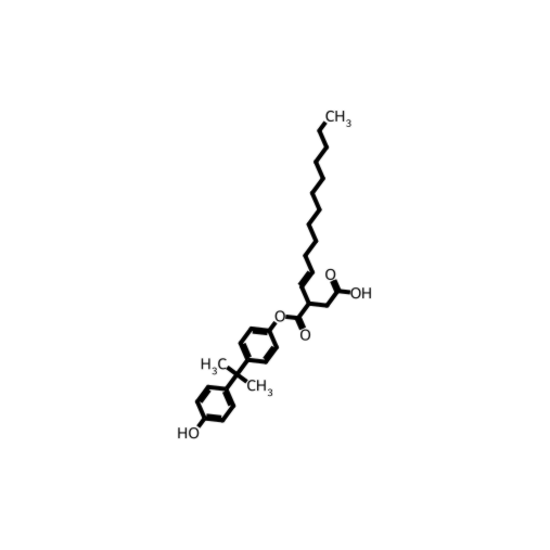 CCCCCCCCCCC=CC(CC(=O)O)C(=O)Oc1ccc(C(C)(C)c2ccc(O)cc2)cc1